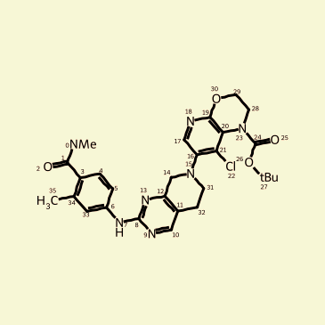 CNC(=O)c1ccc(Nc2ncc3c(n2)CN(c2cnc4c(c2Cl)N(C(=O)OC(C)(C)C)CCO4)CC3)cc1C